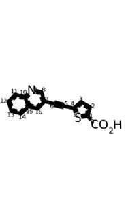 O=C(O)c1ccc(C#Cc2cnc3ccccc3c2)s1